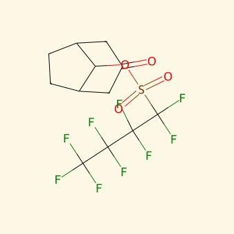 O=C1CC2CCC(C1)C2OS(=O)(=O)C(F)(F)C(F)(F)C(F)(F)C(F)(F)F